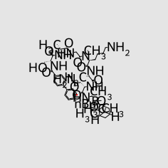 CCCCc1ccc(-c2ccc(C(=O)N[C@H](CO)C(=O)N[C@H](C)C(=O)NCC(=O)N(C)[C@@H](CCCCN)C(=O)N[C@@H](C)C(=O)N[C@@H](CC(N)=O)C(=O)N[C@@H](C)B3OC4C[C@@H]5C[C@@H](C5(C)C)[C@]4(C)O3)cc2)cc1